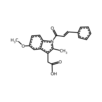 COc1ccc2c(c1)c(CC(=O)O)c(C)n2C(=O)/C=C/c1ccccc1